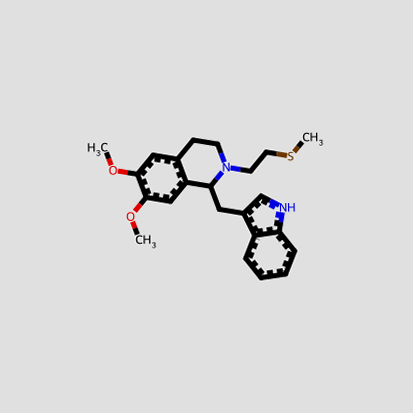 COc1cc2c(cc1OC)C(Cc1c[nH]c3ccccc13)N(CCSC)CC2